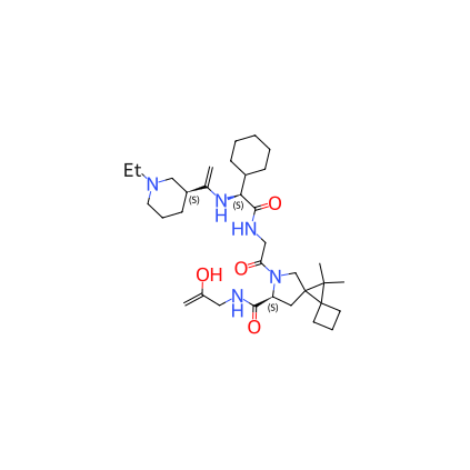 C=C(O)CNC(=O)[C@@H]1CC2(CN1C(=O)CNC(=O)[C@@H](NC(=C)[C@H]1CCCN(CC)C1)C1CCCCC1)C(C)(C)C21CCC1